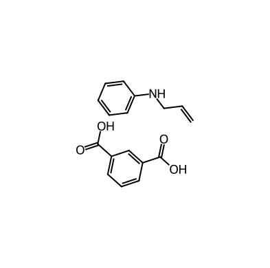 C=CCNc1ccccc1.O=C(O)c1cccc(C(=O)O)c1